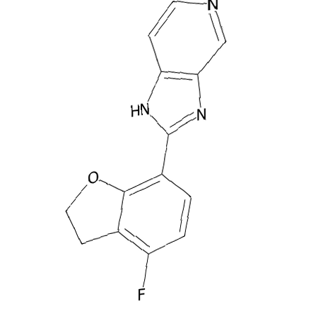 Fc1ccc(-c2nc3cnccc3[nH]2)c2c1CCO2